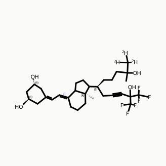 [2H]C([2H])([2H])C(C)(O)CCC[C@@H](CC#CC(O)(C(F)(F)F)C(F)(F)F)C1CCC2/C(=C/C=C3C[C@@H](O)C[C@H](O)C3)CCC[C@@]21C